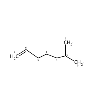 [CH2]C([CH2])CCCC=C